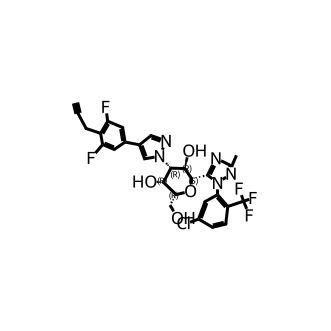 C#CCc1c(F)cc(-c2cnn([C@H]3[C@@H](O)[C@@H](CO)O[C@@H](c4nc(C)nn4-c4cc(Cl)ccc4C(F)(F)F)[C@@H]3O)c2)cc1F